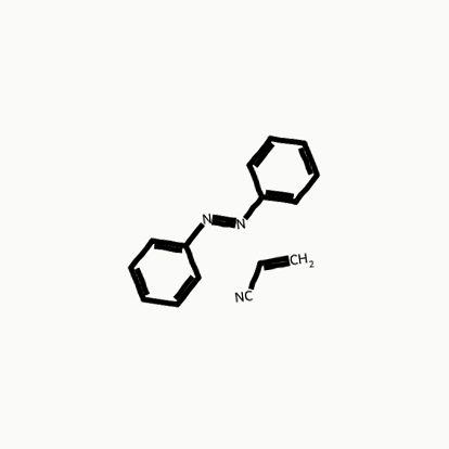 C=CC#N.c1ccc(N=Nc2ccccc2)cc1